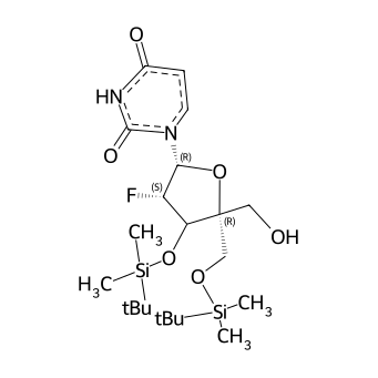 CC(C)(C)[Si](C)(C)OC[C@@]1(CO)O[C@@H](n2ccc(=O)[nH]c2=O)[C@@H](F)C1O[Si](C)(C)C(C)(C)C